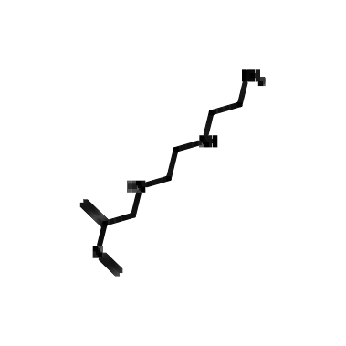 C=NC(=C)CNCCNCCN